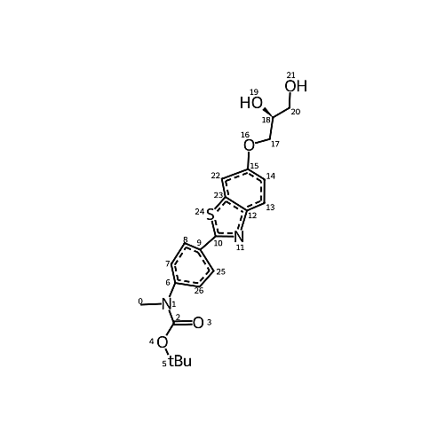 CN(C(=O)OC(C)(C)C)c1ccc(-c2nc3ccc(OC[C@@H](O)CO)cc3s2)cc1